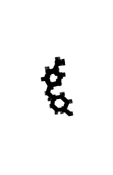 CN1CCN(Cc2cnc(O)nc2)CC1